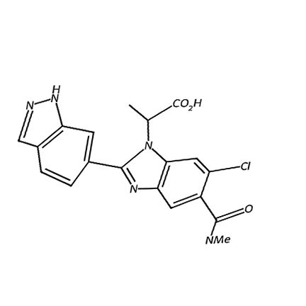 CNC(=O)c1cc2nc(-c3ccc4cn[nH]c4c3)n(C(C)C(=O)O)c2cc1Cl